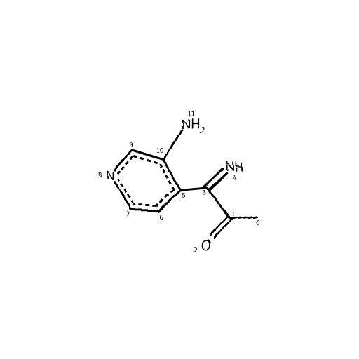 CC(=O)C(=N)c1ccncc1N